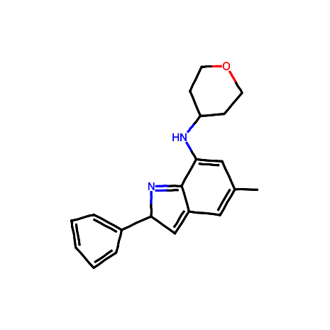 Cc1cc(NC2CCOCC2)c2c(c1)=CC(c1ccccc1)N=2